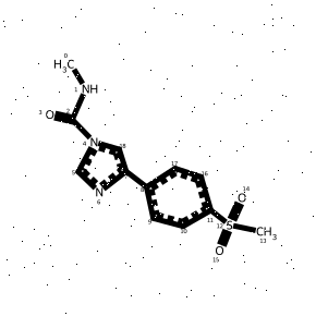 CNC(=O)n1cnc(-c2ccc(S(C)(=O)=O)cc2)c1